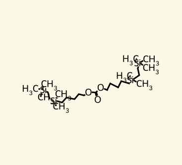 C[Si](C)(C)CC[Si](C)(C)CCCCCOC(=O)OCCCCC[Si](C)(C)CC[Si](C)(C)C